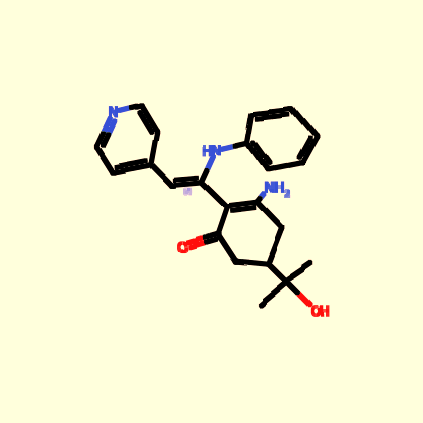 CC(C)(O)C1CC(=O)C(/C(=C/c2ccncc2)Nc2ccccc2)=C(N)C1